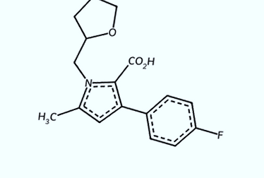 Cc1cc(-c2ccc(F)cc2)c(C(=O)O)n1CC1CCCO1